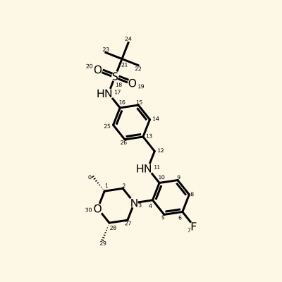 C[C@@H]1CN(c2cc(F)ccc2NCc2ccc(NS(=O)(=O)C(C)(C)C)cc2)C[C@H](C)O1